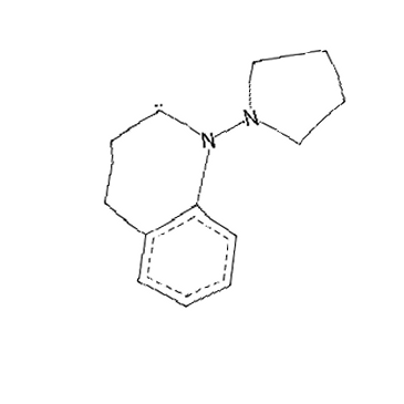 [C]1CCc2ccccc2N1N1CCCC1